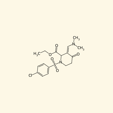 CCOC(=O)C1/C(=C/N(C)C)C(=O)CCN1S(=O)(=O)c1ccc(Cl)cc1